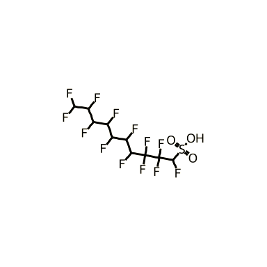 O=S(=O)(O)C(F)C(F)(F)C(F)(F)C(F)C(F)C(F)C(F)C(F)C(F)C(F)F